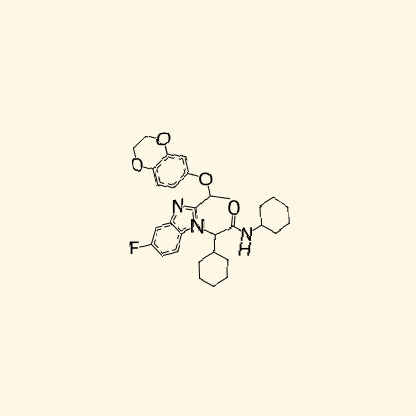 CC(Oc1ccc2c(c1)OCCO2)c1nc2cc(F)ccc2n1C(C(=O)NC1CCCCC1)C1CCCCC1